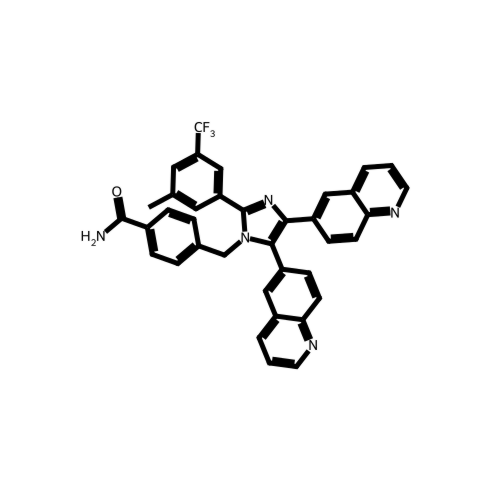 Cc1cc(-c2nc(-c3ccc4ncccc4c3)c(-c3ccc4ncccc4c3)n2Cc2ccc(C(N)=O)cc2)cc(C(F)(F)F)c1